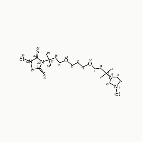 CCN1CCN(C(C)(C)CCOCCCOCCC(C)(C)N2C(=S)CN(CC)C2=S)C1